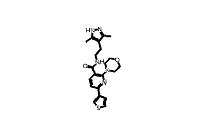 Cc1n[nH]c(C)c1CCNC(=O)c1ccc(-c2ccsc2)nc1N1CCOCC1